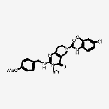 CCCn1c(NCc2ccc(OC)cc2)nc2c(c1=O)CN(C(=O)Nc1ccc(Cl)cc1Cl)CC2